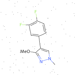 COc1nn(C)cc1-c1ccc(F)c(F)c1